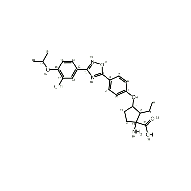 CCC1C(Oc2ccc(-c3nc(-c4ccc(OC(C)C)c(Cl)c4)no3)cc2)CCC1(N)C(=O)O